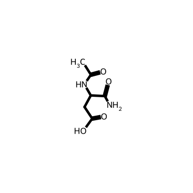 CC(=O)NC(CC(=O)O)C(N)=O